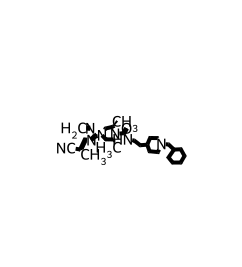 C=N/C(=N\C=C(/C)C#N)N1C[C@@H](C)N(C(=O)NCCC2CCN(CC3CCCCC3)CC2)[C@@H](C)C1